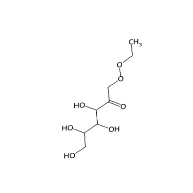 CCOOCC(=O)C(O)C(O)C(O)CO